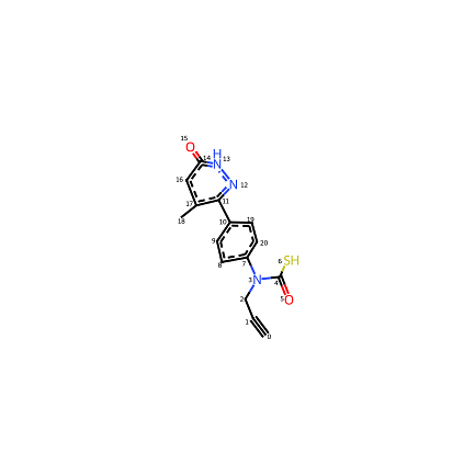 C#CCN(C(=O)S)c1ccc(-c2n[nH]c(=O)cc2C)cc1